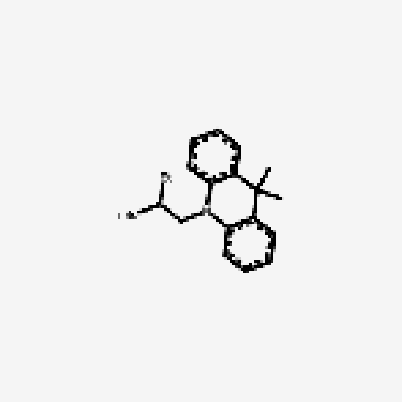 CCCCC(CC)CN1c2ccccc2C(C)(C)c2ccccc21